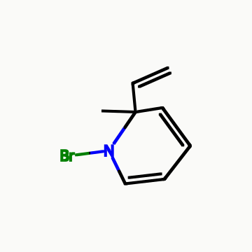 C=CC1(C)C=CC=CN1Br